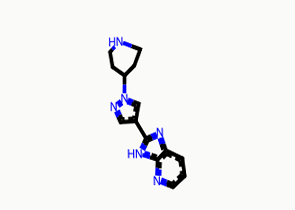 c1cnc2[nH]c(-c3cnn(C4CCNCC4)c3)nc2c1